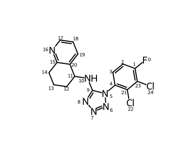 Fc1ccc(-n2nnnc2NC2CCCc3ncccc32)c(Cl)c1Cl